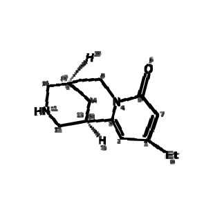 CCc1cc2n(c(=O)c1)C[C@@H]1CNC[C@H]2C1